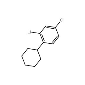 Clc1ccc(C2CCCCC2)c(Cl)c1